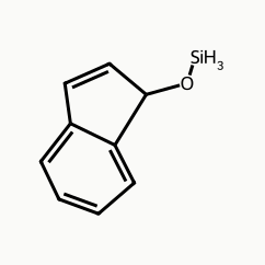 [SiH3]OC1C=Cc2ccccc21